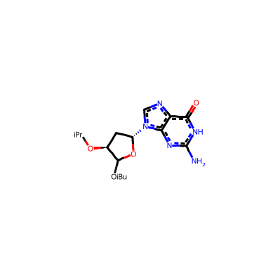 CC(C)COC1O[C@@H](n2cnc3c(=O)[nH]c(N)nc32)C[C@@H]1OC(C)C